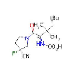 CC(C)(C)CC(C)(C)[C@@H](NC(=O)O)C(=O)N1CCC(F)(C#N)C1